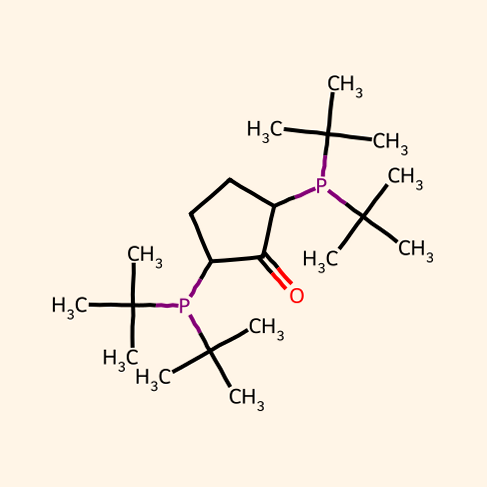 CC(C)(C)P(C1CCC(P(C(C)(C)C)C(C)(C)C)C1=O)C(C)(C)C